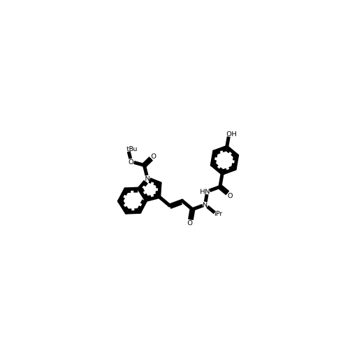 CC(C)N(NC(=O)c1ccc(O)cc1)C(=O)C=Cc1cn(C(=O)OC(C)(C)C)c2ccccc12